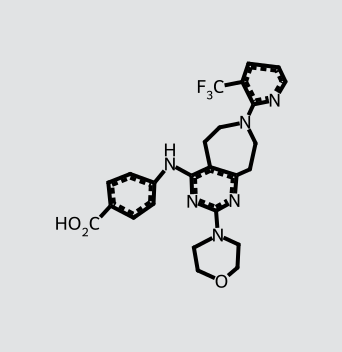 O=C(O)c1ccc(Nc2nc(N3CCOCC3)nc3c2CCN(c2ncccc2C(F)(F)F)CC3)cc1